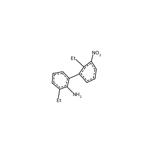 CCc1cccc(-c2cccc([N+](=O)[O-])c2CC)c1N